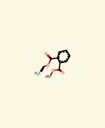 C=COC(=O)c1ccccc1C(=O)OCCCC